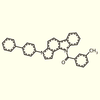 Cc1cccc(C(=O)n2c3ccccc3c3ccc4c(ccn4-c4ccc(-c5ccccc5)cc4)c32)c1